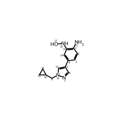 Nc1ccc(-c2cnn(CC3CC3)c2)cc1NO